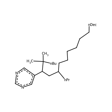 CCCCCCCCCCCCCCCCC(CCC)CC(c1cncnc1)C(C)(C)CCCC